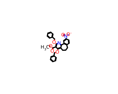 COC(=O)c1c(OCc2ccccc2)nc2c(c1OCc1ccccc1)CCCc1ccc([N+](=O)[O-])cc1-2